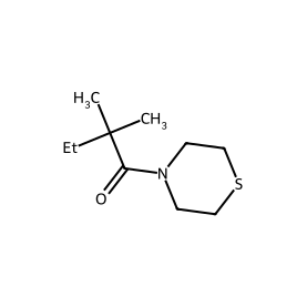 CCC(C)(C)C(=O)N1CCSCC1